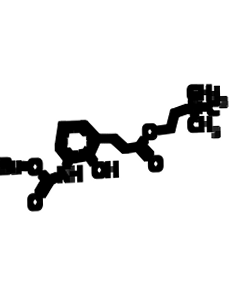 CC(C)(C)OC(=O)Nc1cccc(CCC(=O)OCC[Si](C)(C)C)c1O